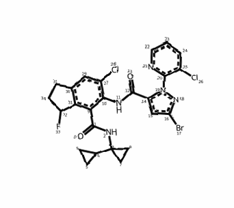 O=C(NC1(C2CC2)CC1)c1c(NC(=O)c2cc(Br)nn2-c2ncccc2Cl)c(Cl)cc2c1C(F)CC2